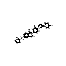 O=C1c2ccc(OC[C@@H]3CCCO3)cc2CCN1c1ccc(N2CCC(N3CCC(F)CC3)C2)c(F)c1